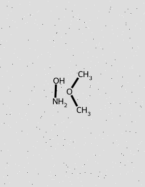 COC.NO